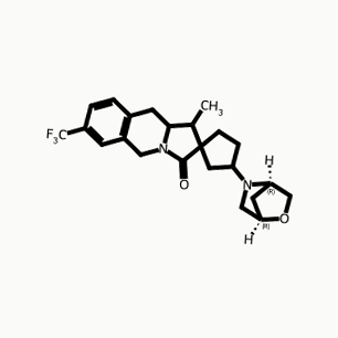 CC1C2Cc3ccc(C(F)(F)F)cc3CN2C(=O)C12CCC(N1C[C@H]3C[C@@H]1CO3)C2